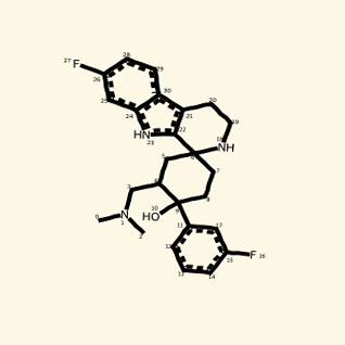 CN(C)CC1CC2(CCC1(O)c1cccc(F)c1)NCCc1c2[nH]c2cc(F)ccc12